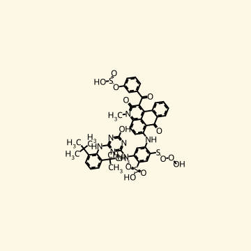 Cn1c(=O)c(C(=O)c2cccc(OS(=O)O)c2)c2c3c(c(Nc4cc(Nc5nc(O)nc(Nc6c(C(C)(C)C)cccc6C(C)(C)C)n5)c(S(=O)(=O)O)cc4SOOO)ccc31)C(=O)c1ccccc1-2